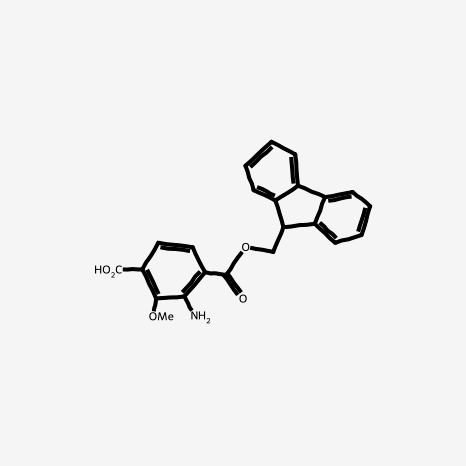 COc1c(C(=O)O)ccc(C(=O)OCC2c3ccccc3-c3ccccc32)c1N